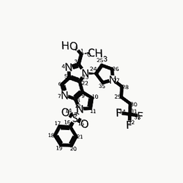 C[C@@H](O)c1nc2cnc3c(ccn3S(=O)(=O)c3ccccc3)c2n1[C@H]1CCN(CCCC(F)(F)F)C1